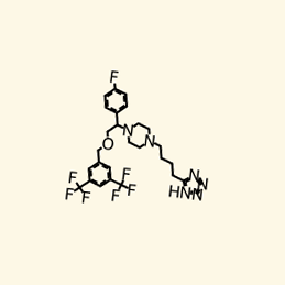 Fc1ccc(C(COCc2cc(C(F)(F)F)cc(C(F)(F)F)c2)N2CCN(CCCCc3nnn[nH]3)CC2)cc1